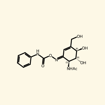 CC(=O)N[C@H]1C(=NOC(=O)Nc2ccccc2)C=C(CO)[C@@H](O)[C@@H]1O